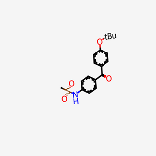 CC(C)(C)Oc1ccc(C(=O)c2ccc(NS(C)(=O)=O)cc2)cc1